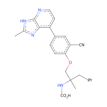 Cc1nc2c(-c3ccc(OCC(C)(CC(C)C)NC(=O)O)c(C#N)c3)ccnc2[nH]1